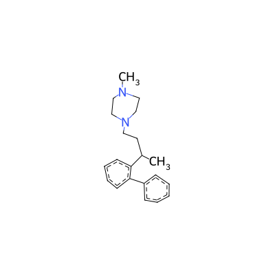 CC(CCN1CCN(C)CC1)c1ccccc1-c1ccccc1